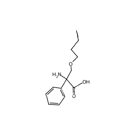 CCCCOCC(N)(C(=O)O)c1ccccc1